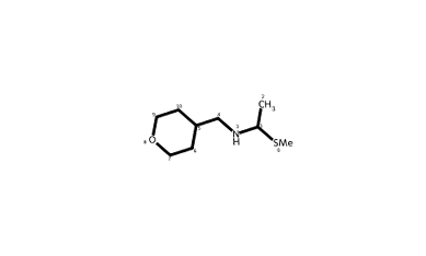 CSC(C)NCC1CCOCC1